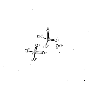 O=S(=O)([O-])Cl.O=S(=O)([O-])Cl.[Zn+2]